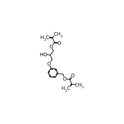 C=C(C)C(=O)OCc1cccc(OCC(O)COC(=O)C(=C)C)c1